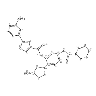 Cc1cc(-c2nc(C(=O)Nc3cc4sc(N5CCOCC5)nc4nc3N3CC[C@@H](O)C3)co2)ccn1